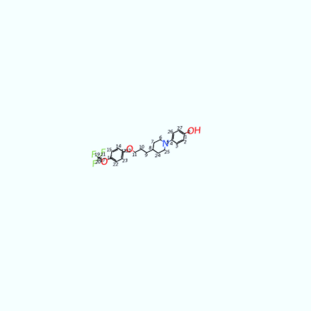 Oc1ccc(N2CCC(CCCOc3ccc(OC(F)(F)F)cc3)CC2)cc1